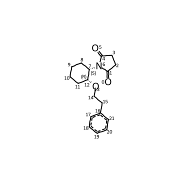 O=C1CCC(=O)N1[C@H]1CCCC[C@H]1OCCc1ccccc1